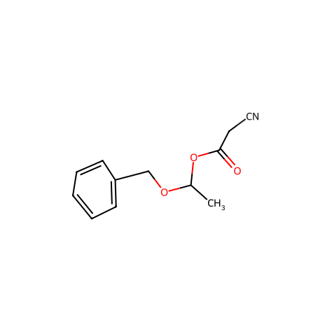 CC(OCc1ccccc1)OC(=O)CC#N